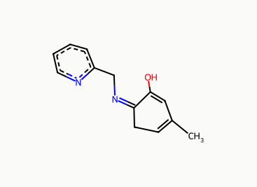 CC1=CCC(=NCc2ccccn2)C(O)=C1